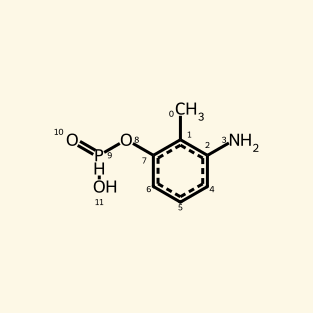 Cc1c(N)cccc1O[PH](=O)O